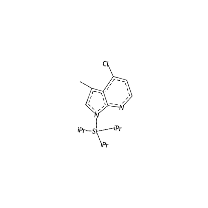 Cc1cn([Si](C(C)C)(C(C)C)C(C)C)c2nccc(Cl)c12